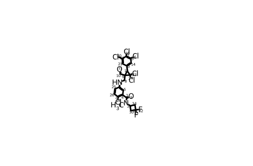 CN(C(=O)c1cc(NCC2(C=O)C(c3cc(Cl)c(Cl)c(Cl)c3)C2(Cl)Cl)ccc1Cl)C1CC(F)(F)C1